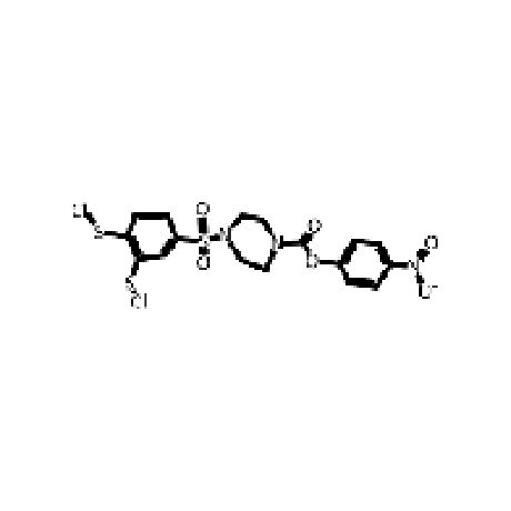 O=C(Oc1ccc([N+](=O)[O-])cc1)N1CCN(S(=O)(=O)c2ccc(SCl)c(SCl)c2)CC1